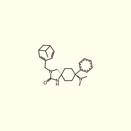 CC1C2C=CC(CN3C[C@]4(CC[C@](c5ccccc5)(N(C)C)CC4)NC3=O)=CC1C2